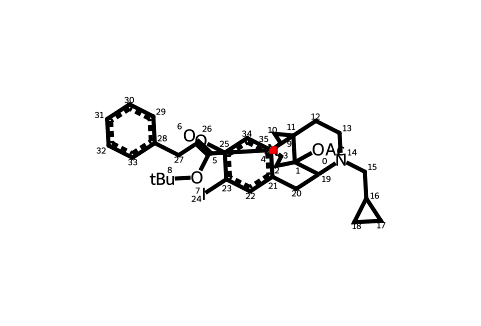 CC(=O)OC12CCN(C(=O)OC(C)(C)C)CCC13CCN(CC1CC1)C2Cc1cc(I)c(OCc2ccccc2)cc13